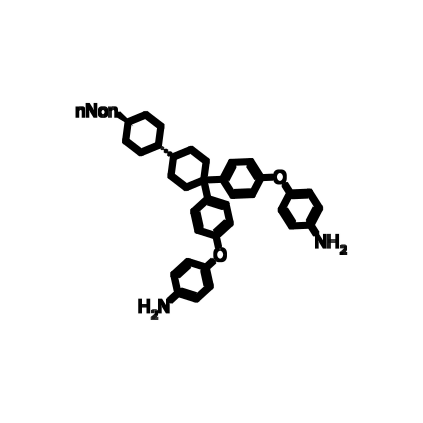 CCCCCCCCC[C@H]1CC[C@H](C2CCC(c3ccc(Oc4ccc(N)cc4)cc3)(c3ccc(Oc4ccc(N)cc4)cc3)CC2)CC1